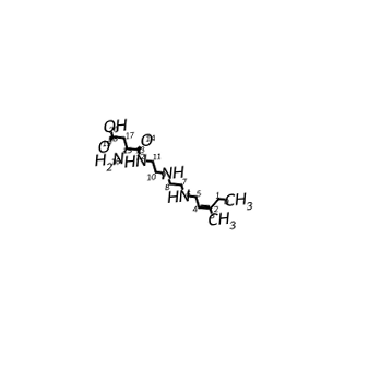 CC/C(C)=C\CNCCNCCNC(=O)[C@@H](N)CC(=O)O